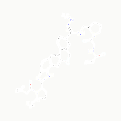 C=N/C=C(\NCC1CCCN1C(=O)CNC(=O)OC)c1ccc2c(c1)COc1cc3c(ccc4nc(C5CC[C@H](C)N5C(=O)C[C@@H](C)CC)[nH]c43)cc1-2